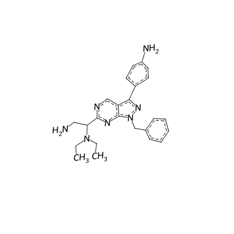 CCN(CC)C(CN)c1ncc2c(-c3ccc(N)cc3)nn(Cc3ccccc3)c2n1